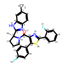 C[C@@]1(c2nc3ccc(C(F)(F)F)cc3[nH]2)CCCN1C(=O)c1nc(-c2ccccc2F)sc1-c1ccc(F)cc1